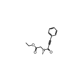 CCOC(=O)CN(C)C(=O)C#Cc1ccccc1